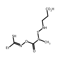 CCC(S)=NOC(=O)N(C)SNCCC(=O)O